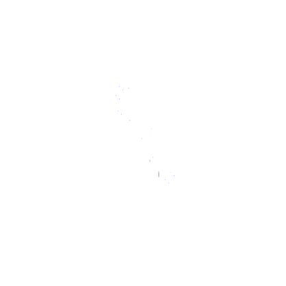 Cc1ccc(Nc2ccc3c(c2)ncn3-c2cc[c]c(-c3c(C)n[nH]c3CC3CCC3)n2)nn1